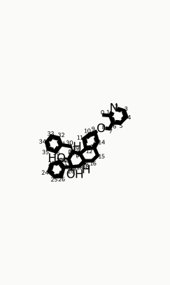 Cc1ncccc1COc1ccc2c(c1)CC[C@@H]1C[C@@](O)(c3ccccc3)[C@@H](O)[C@@H](Cc3ccccc3)[C@H]21